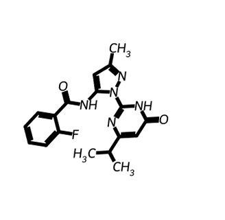 Cc1cc(NC(=O)c2ccccc2F)n(-c2nc(C(C)C)cc(=O)[nH]2)n1